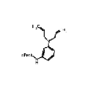 C=CCN(CC=C)c1cccc(NCCCCC)c1